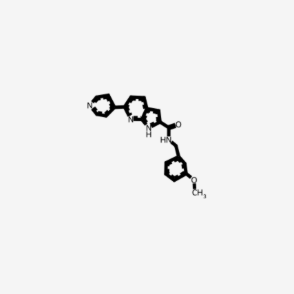 COc1cccc(CNC(=O)c2cc3ccc(-c4ccncc4)nc3[nH]2)c1